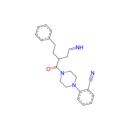 N#Cc1ccccc1N1CCN(C(=O)C(CC=N)CCc2ccccc2)CC1